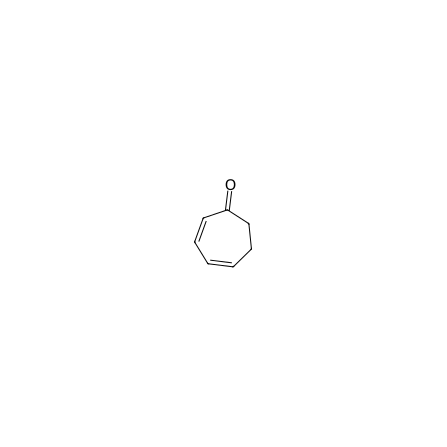 O=C1C=CC=CCC1